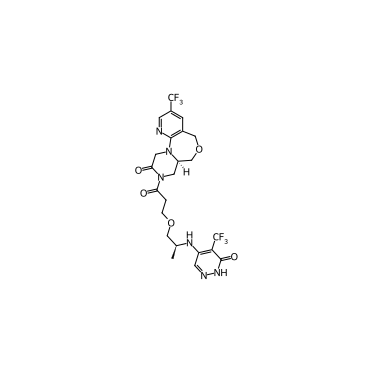 C[C@@H](COCCC(=O)N1C[C@@H]2COCc3cc(C(F)(F)F)cnc3N2CC1=O)Nc1cn[nH]c(=O)c1C(F)(F)F